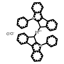 [Cl-].[Cl-].c1ccc(-n2c3c(c4ccccc42)-c2ccccc2[CH]3[Hf+2][CH]2c3ccccc3-c3c2n(-c2ccccc2)c2ccccc32)cc1